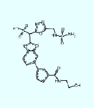 CCCS(=O)(=O)C(c1nnc(CNS(N)(=O)=O)o1)c1nc2ccc(-c3cccc(C(=O)NCCO)c3)cc2s1